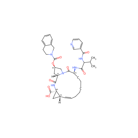 CC(C)C(NC(=O)c1cccnc1)C(=O)N[C@H]1CCCCCC=C[C@@H]2C[C@@]2(C(=O)O)NC(=O)[C@@H]2C[C@@H](OC(=O)N3CCc4ccccc4C3)CN2C1=O